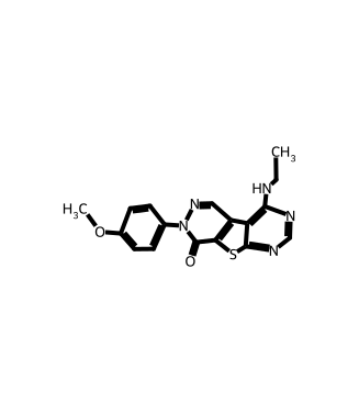 CCNc1ncnc2sc3c(=O)n(-c4ccc(OC)cc4)ncc3c12